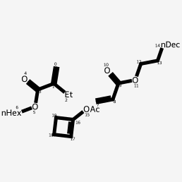 C=C(CC)C(=O)OCCCCCC.C=CC(=O)OCCCCCCCCCCCC.CC(=O)OC1=CCC1